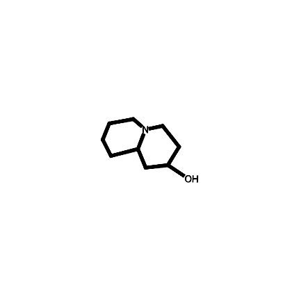 OC1CCN2CCCCC2C1